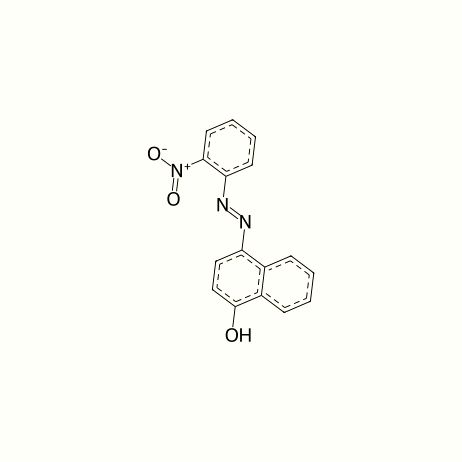 O=[N+]([O-])c1ccccc1/N=N/c1ccc(O)c2ccccc12